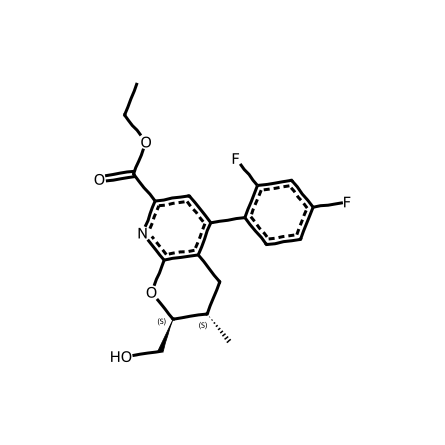 CCOC(=O)c1cc(-c2ccc(F)cc2F)c2c(n1)O[C@H](CO)[C@@H](C)C2